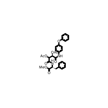 COC(=O)[C@@H](Cc1ccccc1)NC(=O)C(OC(C)=O)[C@@H](OC(C)=O)C(=O)Nc1ccc(Oc2ccccc2)cc1